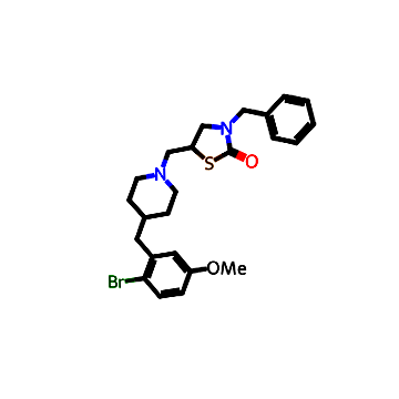 COc1ccc(Br)c(CC2CCN(CC3CN(Cc4ccccc4)C(=O)S3)CC2)c1